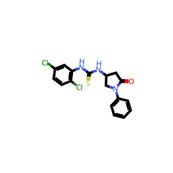 O=C1CC(NC(=S)Nc2cc(Cl)ccc2Cl)CN1c1ccccc1